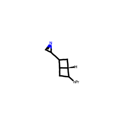 CCCC1CC2C(C3C=N3)C[C@H]12